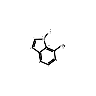 CCCc1cccc2ccn(CC)c12